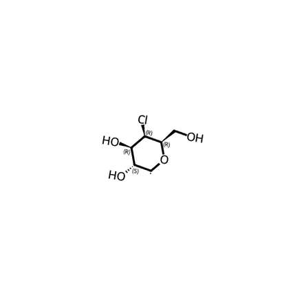 OC[C@H]1O[CH][C@H](O)[C@@H](O)[C@H]1Cl